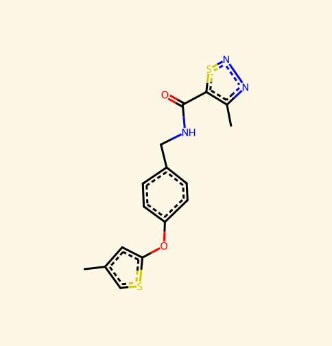 Cc1csc(Oc2ccc(CNC(=O)c3snnc3C)cc2)c1